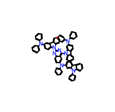 c1ccc(N(c2ccccc2)c2ccc3c(c2)c2ccccc2n3-c2nc(-n3c4ccccc4c4ccc(N(c5ccccc5)c5ccccc5)cc43)c3cc(N(c4ccccc4)c4ccc5c6ccccc6n(-c6ccccc6)c5c4)ccc3n2)cc1